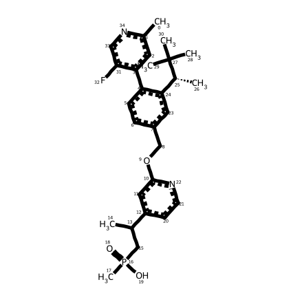 Cc1cc(-c2ccc(COc3cc(C(C)CP(C)(=O)O)ccn3)cc2[C@@H](C)C(C)(C)C)c(F)cn1